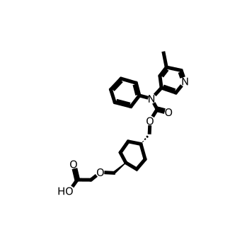 Cc1cncc(N(C(=O)OC[C@H]2CC[C@H](COCC(=O)O)CC2)c2ccccc2)c1